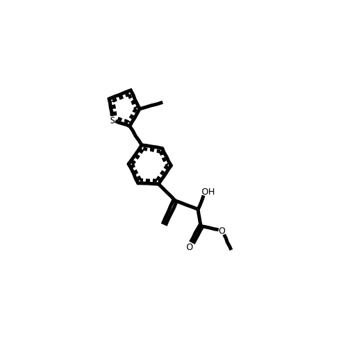 C=C(c1ccc(-c2sccc2C)cc1)C(O)C(=O)OC